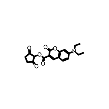 CCN(CC)c1ccc2cc(C(=O)OC3C(=O)CCC3=O)c(=O)oc2c1